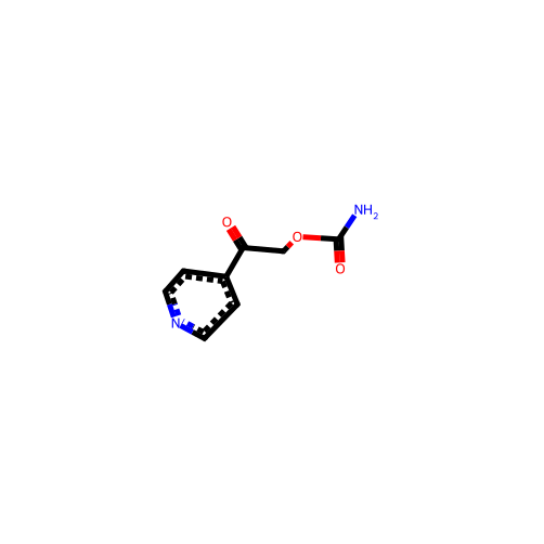 NC(=O)OCC(=O)c1ccncc1